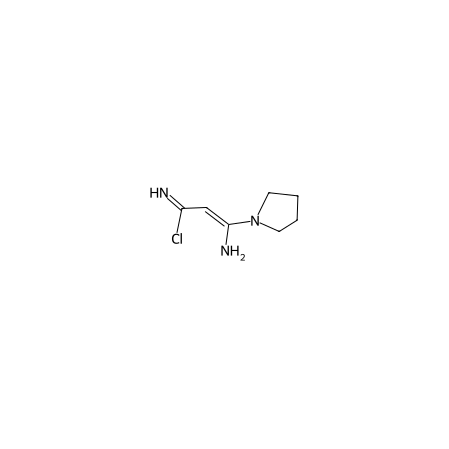 N=C(Cl)/C=C(\N)N1CCCC1